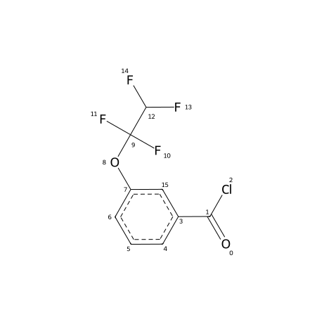 O=C(Cl)c1cccc(OC(F)(F)C(F)F)c1